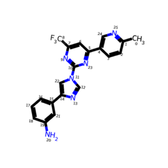 Cc1ccc(-c2cc(C(F)(F)F)nc(-n3cnc(-c4cccc(N)c4)c3)n2)cn1